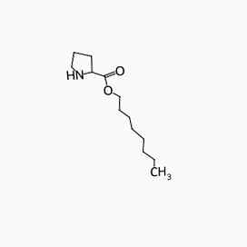 CCCCCCCCOC(=O)C1CCCN1